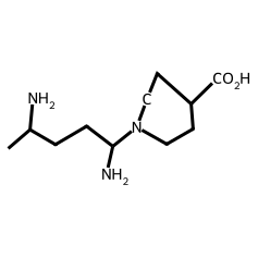 CC(N)CCC(N)N1CCC(C(=O)O)CC1